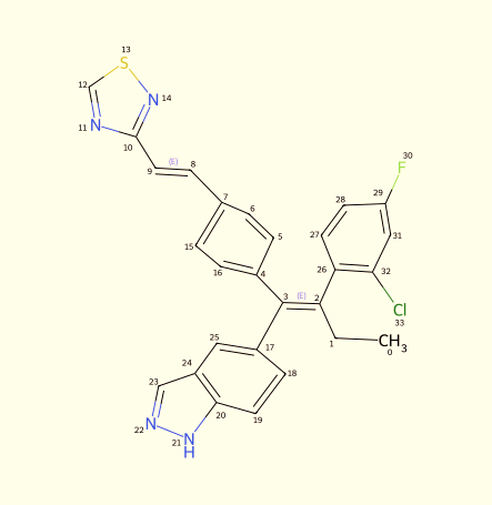 CC/C(=C(/c1ccc(/C=C/c2ncsn2)cc1)c1ccc2[nH]ncc2c1)c1ccc(F)cc1Cl